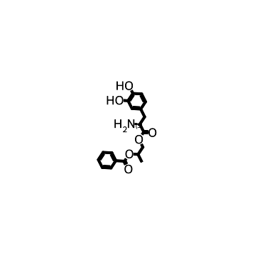 CC(COC(=O)[C@@H](N)Cc1ccc(O)c(O)c1)OC(=O)c1ccccc1